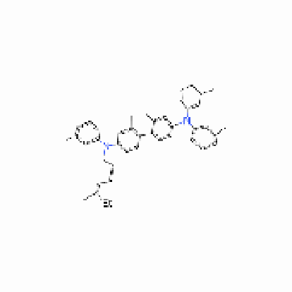 CC/C(C)=C\C=C/CN(c1cccc(C)c1)c1ccc(-c2ccc(N(C3=CC(C)CC=C3)c3cccc(C)c3)cc2C)c(C)c1